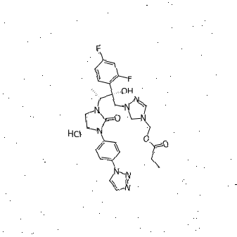 CCC(=O)OCN1C=NN(C[C@](O)(c2ccc(F)cc2F)[C@@H](C)N2CCN(c3ccc(-n4ccnn4)cc3)C2=O)C1.Cl